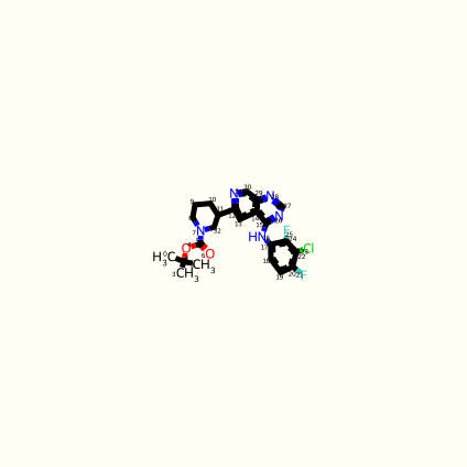 CC(C)(C)OC(=O)N1CCCC(c2cc3c(Nc4ccc(F)c(Cl)c4F)ncnc3cn2)C1